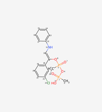 CP(=O)(O)OP(C)(=O)OC(=CNc1ccccc1)c1cccc(Cl)c1